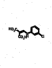 O=C(O)C(=CNc1cccc(Cl)c1)C(=O)O